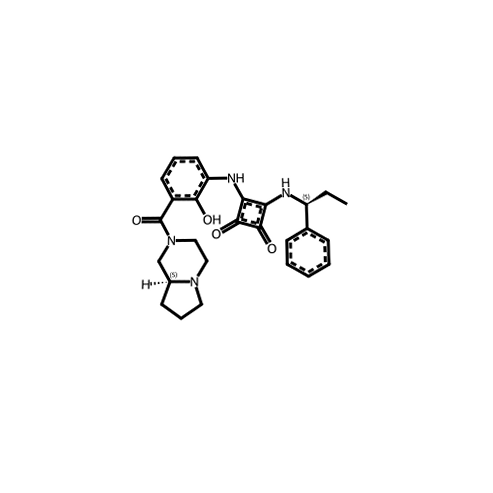 CC[C@H](Nc1c(Nc2cccc(C(=O)N3CCN4CCC[C@H]4C3)c2O)c(=O)c1=O)c1ccccc1